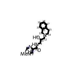 C/C=N\C(=C/NC)C(=O)NCC(O)CN1CCc2ccccc2C1